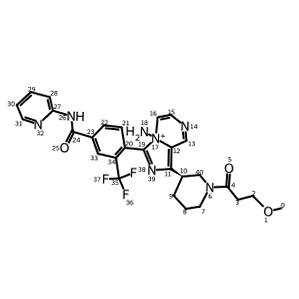 COCCC(=O)N1CCC[C@@H](C2=C3C=NC=C[N+]3(N)C(c3ccc(C(=O)Nc4ccccn4)cc3C(F)(F)F)=N2)C1